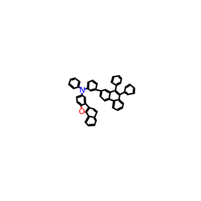 c1ccc(-c2c(-c3ccccc3)c3cc(-c4cccc(N(c5ccccc5)c5ccc6oc7c8ccccc8ccc7c6c5)c4)ccc3c3ccccc23)cc1